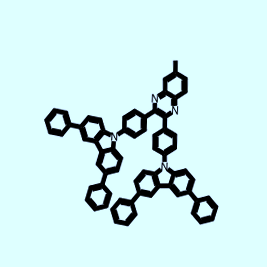 Cc1ccc2nc(-c3ccc(-n4c5ccc(-c6ccccc6)cc5c5cc(-c6ccccc6)ccc54)cc3)c(-c3ccc(-n4c5ccc(-c6ccccc6)cc5c5cc(-c6ccccc6)ccc54)cc3)nc2c1